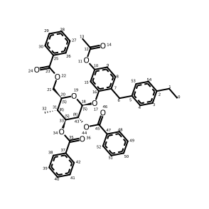 CCc1ccc(Cc2ccc(OC(C)=O)cc2O[C@@H]2O[C@H](COC(=O)c3ccccc3)[C@@H](C)[C@H](OC(=O)c3ccccc3)[C@H]2OC(=O)c2ccccc2)cc1